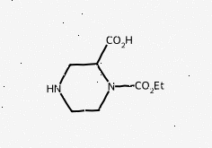 CCOC(=O)N1CCNCC1C(=O)O